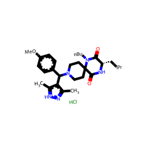 CCCCN1C(=O)[C@H](CC(C)C)NC(=O)C12CCN(C(c1ccc(OC)cc1)c1c(C)n[nH]c1C)CC2.Cl